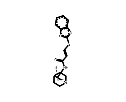 O=C(C=CSc1nc2ccccc2o1)N[C@H]1CN2CCC1CC2